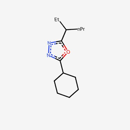 CCCC(CC)c1nnc(C2CCCCC2)o1